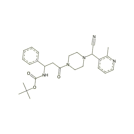 Cc1ncccc1C(C#N)N1CCN(C(=O)CC(NC(=O)OC(C)(C)C)c2ccccc2)CC1